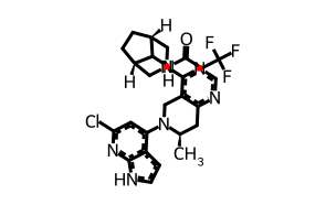 C[C@@H]1Cc2ncnc(N3C[C@H]4CC[C@@H](C3)C4NC(=O)CC(F)(F)F)c2CN1c1cc(Cl)nc2[nH]ccc12